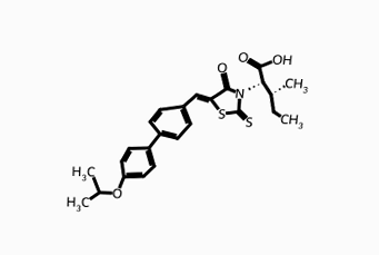 CC[C@@H](C)[C@@H](C(=O)O)N1C(=O)C(=Cc2ccc(-c3ccc(OC(C)C)cc3)cc2)SC1=S